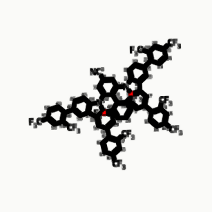 N#Cc1cc(-n2c3ccc(-c4ccc(C(F)(F)F)cc4C(F)(F)F)cc3c3cc(-c4ccc(C(F)(F)F)cc4C(F)(F)F)ccc32)c(-c2c(C(F)(F)F)cccc2C(F)(F)F)c(-n2c3ccc(-c4ccc(C(F)(F)F)cc4C(F)(F)F)cc3c3cc(-c4ccc(C(F)(F)F)cc4C(F)(F)F)ccc32)c1